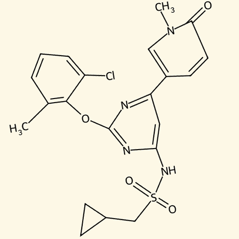 Cc1cccc(Cl)c1Oc1nc(NS(=O)(=O)CC2CC2)cc(-c2ccc(=O)n(C)c2)n1